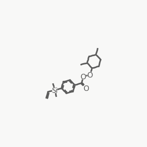 C=C[Si](C)(C)c1ccc(C(=O)OO[C]2CCC(C)CC2C)cc1